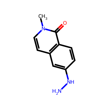 Cn1ccc2cc(NN)ccc2c1=O